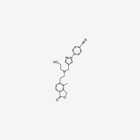 Cc1c(CCN(CCO)Cc2cnn(-c3ccc(C#N)cc3)c2)ccc2c1COC2=O